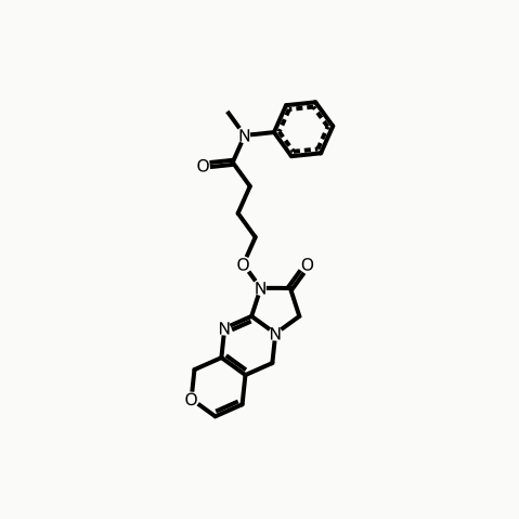 CN(C(=O)CCCON1C(=O)CN2CC3=C(COC=C3)N=C21)c1ccccc1